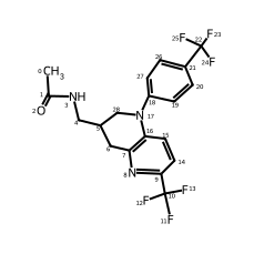 CC(=O)NCC1Cc2nc(C(F)(F)F)ccc2N(c2ccc(C(F)(F)F)cc2)C1